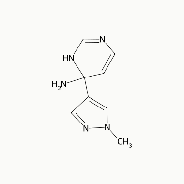 Cn1cc(C2(N)C=CN=CN2)cn1